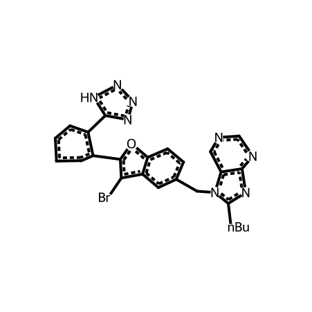 CCCCc1nc2ncncc2n1Cc1ccc2oc(-c3ccccc3-c3nnn[nH]3)c(Br)c2c1